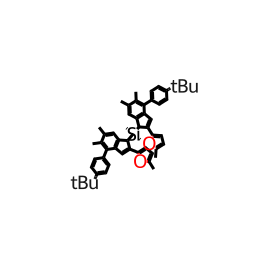 Cc1ccc(C2=Cc3c(cc(C)c(C)c3-c3ccc(C(C)(C)C)cc3)C2[Si](C)(C)C2C(c3ccc(C)o3)=Cc3c2cc(C)c(C)c3-c2ccc(C(C)(C)C)cc2)o1